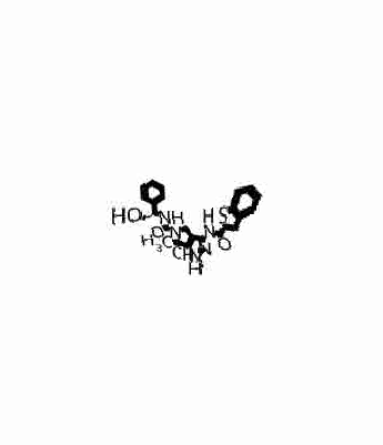 CC1(C)c2[nH]nc(NC(=O)c3cc4ccccc4s3)c2CN1C(=O)N[C@H](CO)c1ccccc1